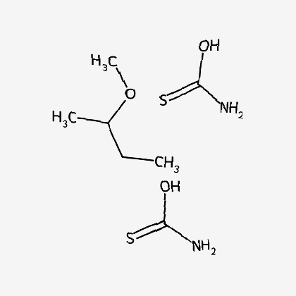 CCC(C)OC.NC(O)=S.NC(O)=S